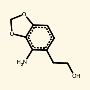 Nc1c(CCO)ccc2c1OCO2